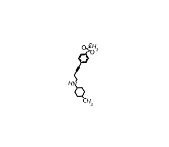 CC1CCC(NCCC#Cc2ccc(S(C)(=O)=O)cc2)CC1